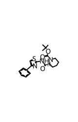 CC(C)(C)OC(=O)N1CCCC[C@H]1C(=O)Nc1nc(-c2ccccc2)cs1